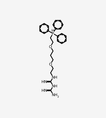 N=C(N)NC(=N)NCCOCCCOCC[PH](c1ccccc1)(c1ccccc1)c1ccccc1